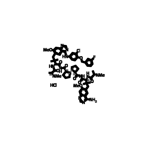 CN[C@@H](C)C(=O)N[C@H](C(=O)NC(=O)[C@@H]1CCCN1N1CCC[C@H]1C(=O)NC(=O)[C@@H](NC(=O)[C@H](C)NC)C(C)(C)Cc1cc2c(Nc3ccc(OCc4cccc(F)c4)c(Cl)c3)ncnc2cc1OC)C(C)(C)Cc1cc2c(N)ncnc2cc1OC.Cl